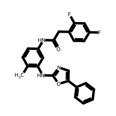 Cc1ccc(NC(=O)Cc2ccc(F)cc2F)cc1Nc1ncc(-c2ccccc2)o1